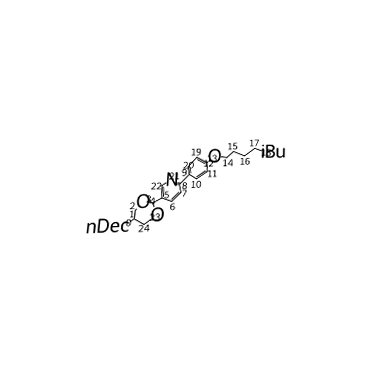 CCCCCCCCCCC1COC(c2ccc(-c3ccc(OCCCCC(C)CC)cc3)nc2)OC1